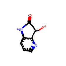 O=C1Nc2cccnc2C1O